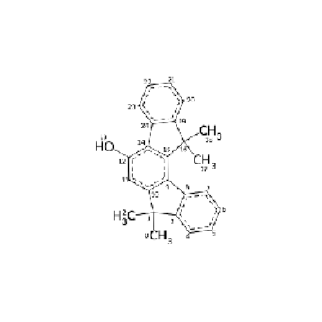 CC1(C)c2ccccc2-c2c1cc(O)c1c2C(C)(C)c2ccccc2-1